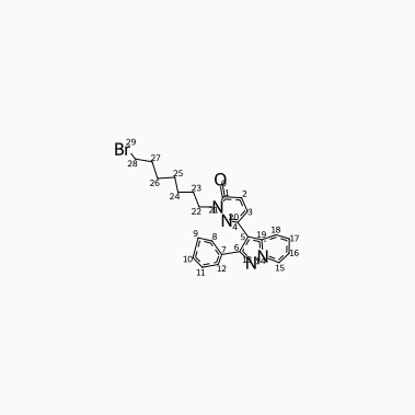 O=c1ccc(-c2c(-c3ccccc3)nn3ccccc23)nn1CCCCCCCBr